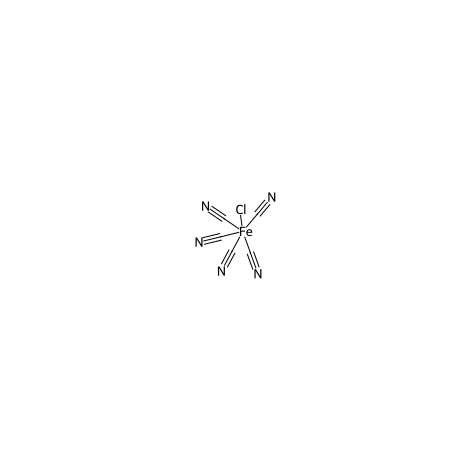 N#[C][Fe]([Cl])([C]#N)([C]#N)([C]#N)[C]#N